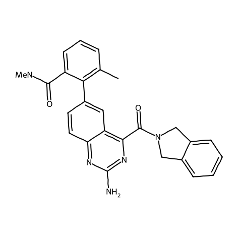 CNC(=O)c1cccc(C)c1-c1ccc2nc(N)nc(C(=O)N3Cc4ccccc4C3)c2c1